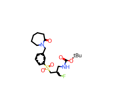 CC(C)(C)OC(=O)NC/C(=C\F)CS(=O)(=O)c1cccc(CN2CCCCCC2=O)c1